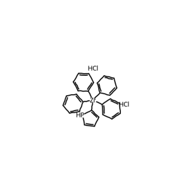 Cl.Cl.c1cc[c]([Zr]([c]2ccccc2)([c]2ccccc2)([c]2ccccc2)[c]2ccc[pH]2)cc1